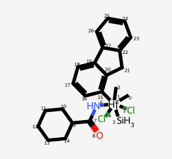 [CH3][Hf]([CH3])([SiH3])([Cl])([Cl])([NH]C(=O)C1CCCCC1)[c]1cccc2c1Cc1ccccc1-2